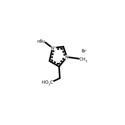 CCCC[n+]1cc(CC(=O)O)n(C)c1.[Br-]